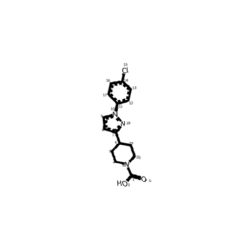 O=C(O)N1CCC(c2ccn(-c3ccc(Cl)cc3)n2)CC1